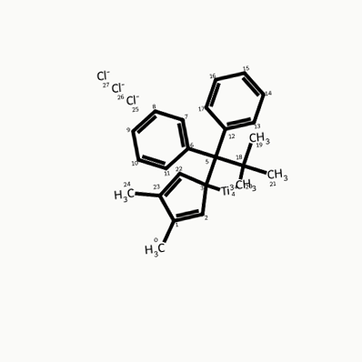 CC1=C[C]([Ti+3])(C(c2ccccc2)(c2ccccc2)C(C)(C)C)C=C1C.[Cl-].[Cl-].[Cl-]